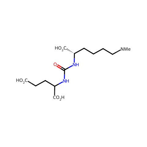 CNCCCC[C@H](NC(=O)NC(CCC(=O)O)C(=O)O)C(=O)O